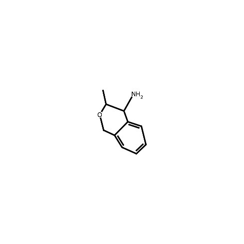 CC1OCc2ccccc2C1N